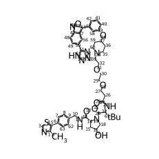 Cc1ncsc1-c1ccc(CNC(=O)[C@@H]2C[C@@H](O)CN2C(=O)[C@@H](NC(=O)CCOCCOCCN2CCC(Oc3cccc(-c4onc5ccc(-c6nnn[nH]6)cc45)c3)CC2)C(C)(C)C)cc1